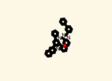 c1ccc(-c2cccc(-c3nc(-n4c5ccccc5c5cc6c7cc8ccccc8cc7n7c8ccccc8c(c54)c67)c4ccccc4n3)c2)cc1